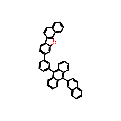 c1cc(-c2ccc3c(c2)oc2c4ccccc4ccc32)cc(-c2c3ccccc3c(-c3ccc4ccccc4c3)c3ccccc23)c1